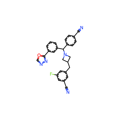 N#Cc1ccc(C(c2cccc(-c3nnco3)c2)N2CC(Cc3cc(F)cc(C#N)c3)C2)cc1